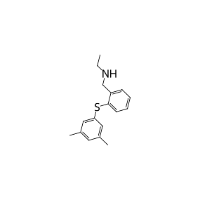 CCNCc1ccccc1Sc1cc(C)cc(C)c1